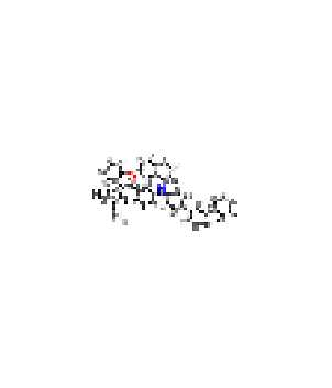 CC(C)(C)c1c(-c2cccc(N(c3ccc(-c4cccc(-c5ccccc5)c4)cc3)c3cccc4ccccc34)c2)oc2ccccc12